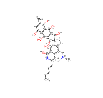 C/C=C/C=C/c1cc2c(CN(C)C)c3c(c(O)c2c(=O)[nH]1)[C@@]1(CC3)C(=O)c2c(O)c3c(c(O)c2C1=O)C(=O)C(OC)=CC3=O